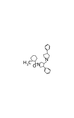 CC1CCCCC1C(=O)N1CC(CN2CCC(c3ccccc3)CC2)C(c2ccccc2)C1